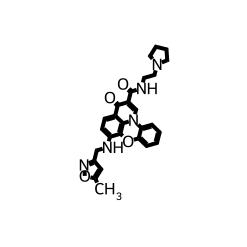 Cc1cc(CNc2ccc3c(=O)c(C(=O)NCCN4CCCC4)cn4c3c2Oc2ccccc2-4)no1